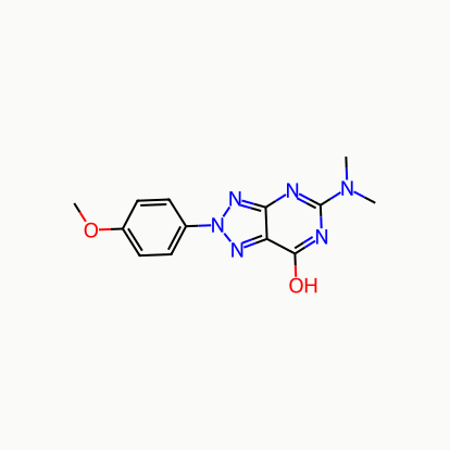 COc1ccc(-n2nc3nc(N(C)C)nc(O)c3n2)cc1